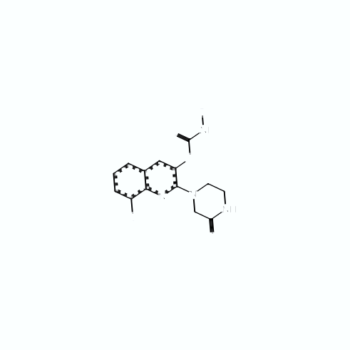 CCNC(=O)Oc1cc2cccc(Cl)c2nc1N1CCNC(=O)C1